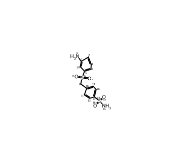 Nc1cccc(S(=O)(=O)Cc2ccc(S(N)(=O)=O)cc2)c1